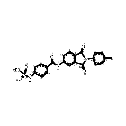 Cc1ccc(N2C(=O)c3ccc(NC(=O)c4ccc(NS(=O)(=O)C(C)(C)C)cc4)cc3C2=O)cc1